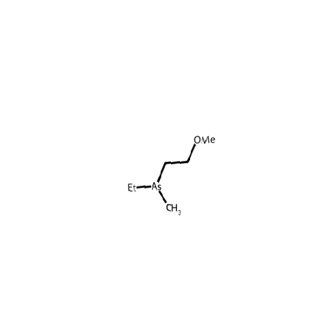 [CH2]C[As](C)CCOC